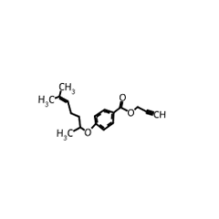 C#CCOC(=O)c1ccc(OC(C)CCC=C(C)C)cc1